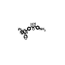 CC(C)n1nnc2c(N3CCOCC3)nc(-c3ccc(NC(=O)Nc4ccc(N)cc4)cc3)nc21